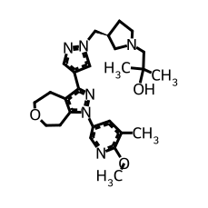 COc1ncc(-n2nc(-c3cnn(C[C@H]4CCN(CC(C)(C)O)C4)c3)c3c2CCOCC3)cc1C